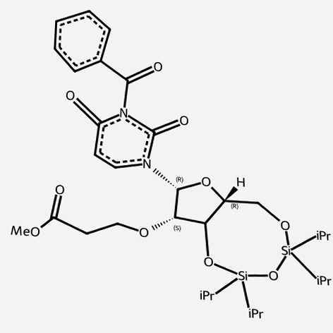 COC(=O)CCO[C@H]1C2O[Si](C(C)C)(C(C)C)O[Si](C(C)C)(C(C)C)OC[C@H]2O[C@H]1n1ccc(=O)n(C(=O)c2ccccc2)c1=O